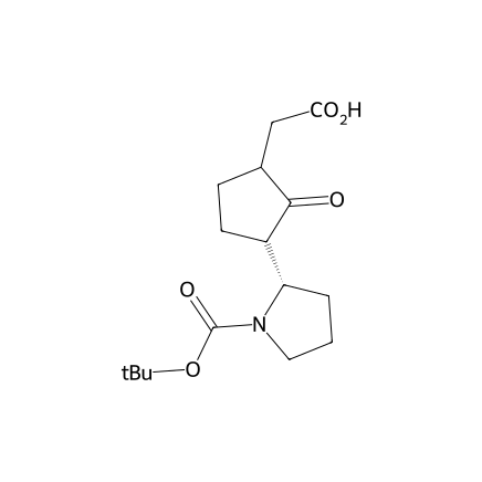 CC(C)(C)OC(=O)N1CCC[C@H]1C1CCC(CC(=O)O)C1=O